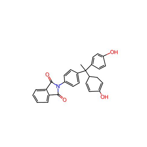 CC(c1ccc(O)cc1)(c1ccc(N2C(=O)c3ccccc3C2=O)cc1)C1C=CC(O)=CC1